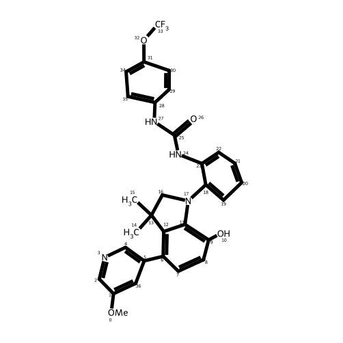 COc1cncc(-c2ccc(O)c3c2C(C)(C)CN3c2ccccc2NC(=O)Nc2ccc(OC(F)(F)F)cc2)c1